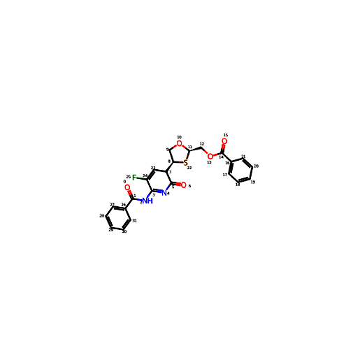 O=C(NC1=NC(=O)C([C@H]2CO[C@@H](COC(=O)c3ccccc3)S2)C=C1F)c1ccccc1